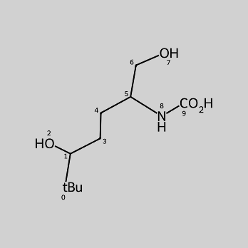 CC(C)(C)C(O)CCC(CO)NC(=O)O